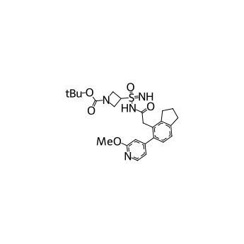 COc1cc(-c2ccc3c(c2CC(=O)NS(=N)(=O)C2CN(C(=O)OC(C)(C)C)C2)CCC3)ccn1